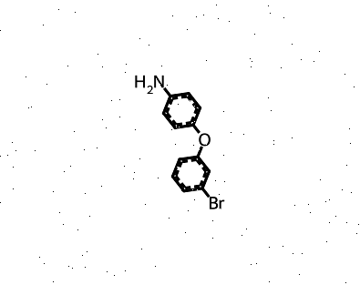 Nc1ccc(Oc2cccc(Br)c2)cc1